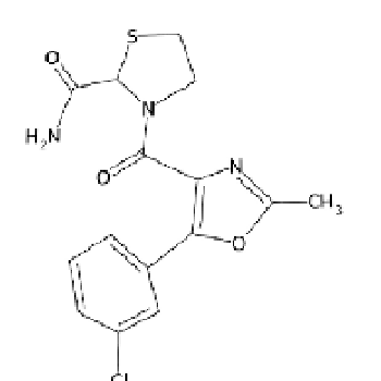 Cc1nc(C(=O)N2CCSC2C(N)=O)c(-c2cccc(Cl)c2)o1